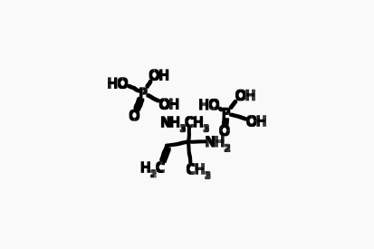 C=CC(C)(C)N.N.O=P(O)(O)O.O=P(O)(O)O